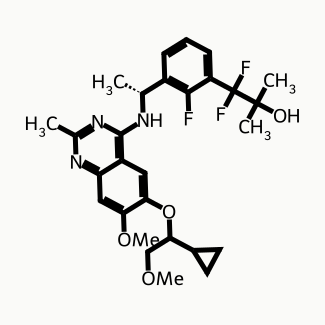 COCC(Oc1cc2c(N[C@H](C)c3cccc(C(F)(F)C(C)(C)O)c3F)nc(C)nc2cc1OC)C1CC1